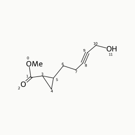 COC(=O)C1CC1CCC#CCO